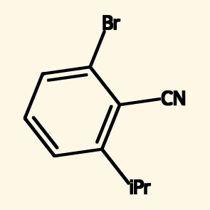 CC(C)c1cccc(Br)c1C#N